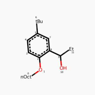 CCCCCCCCOc1ccc(C(C)(C)C)cc1C(O)CC